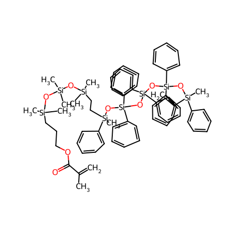 C=C[Si](C)(O[Si](O[Si](O[Si](O[Si](C)(CC[Si](C)(C)O[Si](C)(C)O[Si](C)(C)CCCOC(=O)C(=C)C)c1ccccc1)(c1ccccc1)c1ccccc1)(c1ccccc1)c1ccccc1)(c1ccccc1)c1ccccc1)c1ccccc1